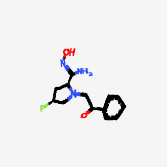 N/C(=N\O)[C@@H]1C[C@H](F)CN1CC(=O)c1ccccc1